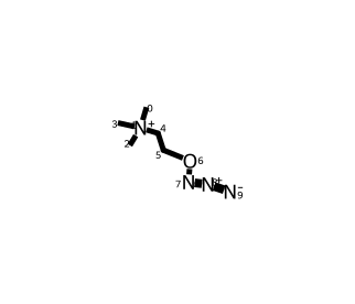 C[N+](C)(C)CCON=[N+]=[N-]